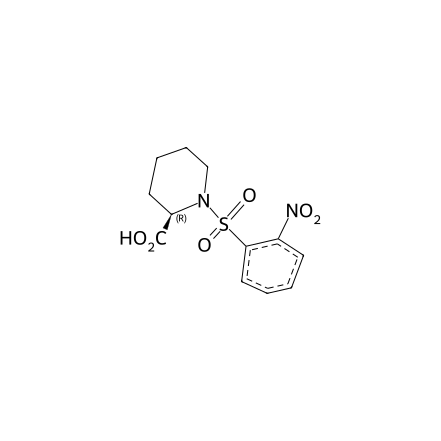 O=C(O)[C@H]1CCCCN1S(=O)(=O)c1ccccc1[N+](=O)[O-]